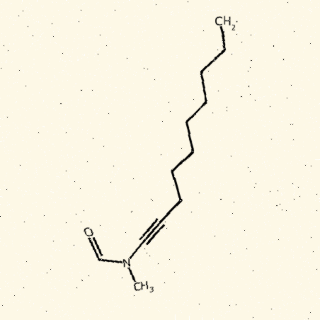 [CH2]CCCCCCCC#CN(C)C=O